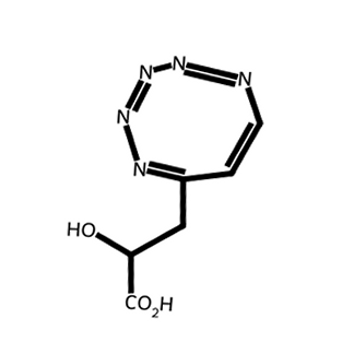 O=C(O)C(O)CC1=NN=NN=NC=C1